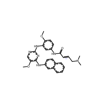 COc1ccc(NC(=O)/C=C/CN(C)C)cc1Nc1ncc(OC)c(Nc2ccc3ccccc3c2)n1